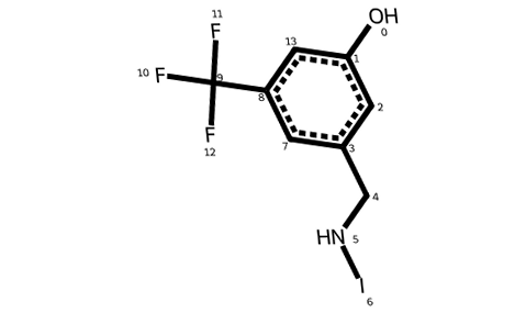 Oc1cc(CNI)cc(C(F)(F)F)c1